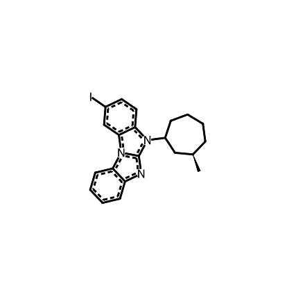 C[C@@H]1CCCCC(n2c3ccc(I)cc3n3c4ccccc4nc23)C1